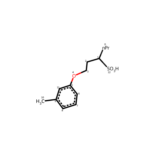 CCCC(CCOc1cccc(C)c1)S(=O)(=O)O